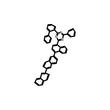 c1ccc(-c2nc(-c3ccccc3-c3ccccc3)nc(-c3ccc(-c4ccc5cc(-c6ccc7ccccc7c6)ccc5c4)c4ccccc34)n2)cc1